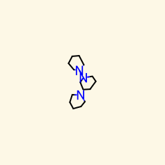 C1CCN(C2CCCN(N3CCCCC3)C2)CC1